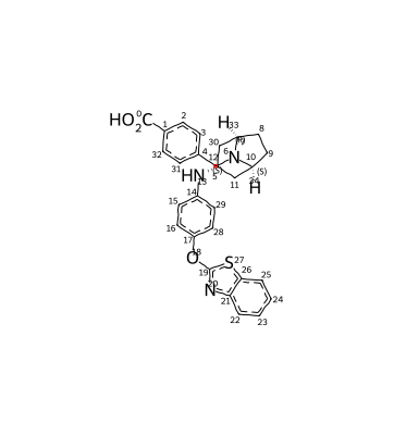 O=C(O)c1ccc(CN2[C@@H]3CC[C@H]2C[C@H](Nc2ccc(Oc4nc5ccccc5s4)cc2)C3)cc1